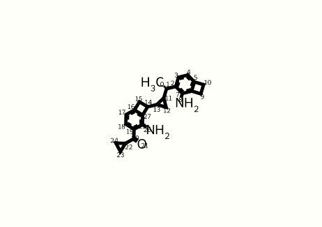 C[C@@H](c1ccc2c(c1N)CC2)C1CC1C1Cc2ccc(C(=O)C3CC3)c(N)c21